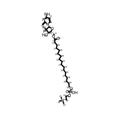 C=C1N=C(N)C=CN1[C@@H]1O[C@H](COC(=O)CCCCCCCCCCCCCCCCCOP(=O)(O)OCC[N+](C)(C)C)C(O)C1(F)F